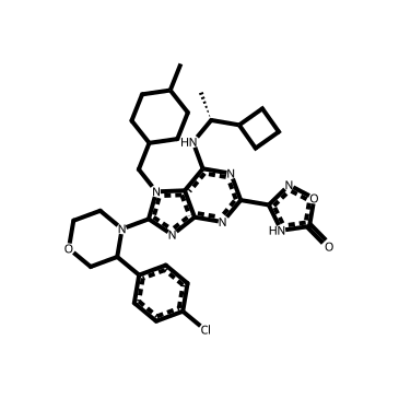 CC1CCC(Cn2c(N3CCOCC3c3ccc(Cl)cc3)nc3nc(-c4noc(=O)[nH]4)nc(N[C@H](C)C4CCC4)c32)CC1